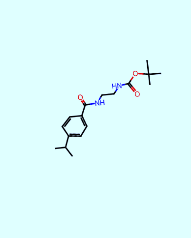 CC(C)c1ccc(C(=O)NCCNC(=O)OC(C)(C)C)cc1